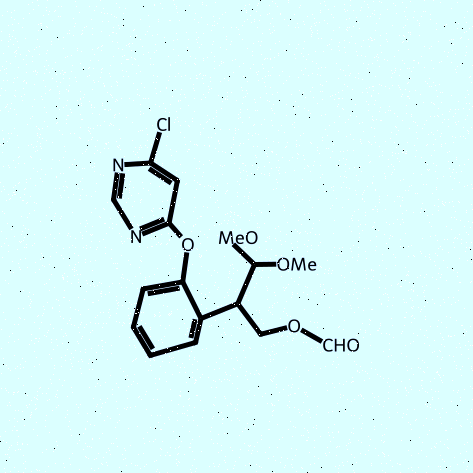 COC(OC)C(COC=O)c1ccccc1Oc1cc(Cl)ncn1